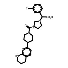 O=C(O)C(c1cccc(Cl)c1)N1CC[C@@H](C(=O)N2CCC(c3ccc4c(n3)NCCC4)CC2)C1